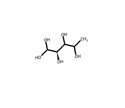 CC(O)C(O)[C@@H](O)C(O)O